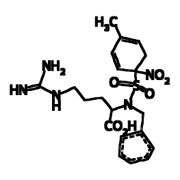 CC1=CCC([N+](=O)[O-])(S(=O)(=O)N(Cc2ccccc2)C(CCCNC(=N)N)C(=O)O)C=C1